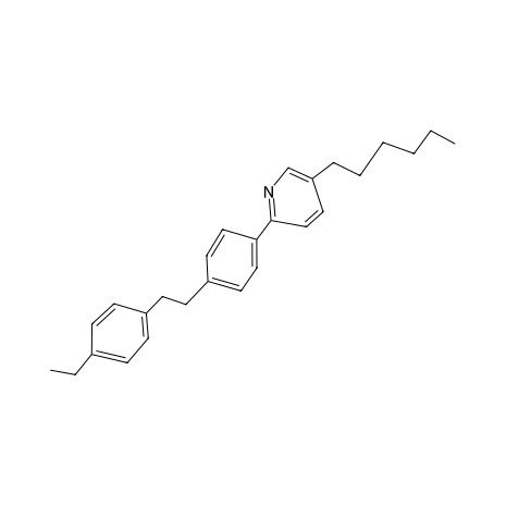 CCCCCCc1ccc(-c2ccc(CCc3ccc(CC)cc3)cc2)nc1